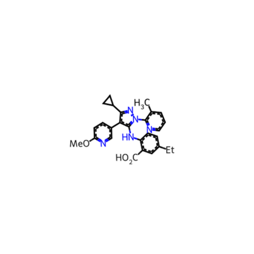 CCc1ccc(Nc2c(-c3ccc(OC)nc3)c(C3CC3)nn2-c2ncccc2C)c(C(=O)O)c1